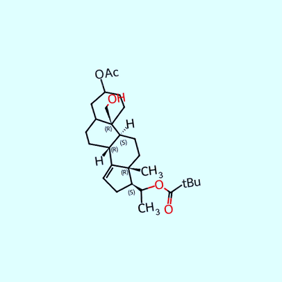 CC(=O)OC1CC[C@@]2(CO)C(CC[C@H]3C4=CC[C@H](C(C)OC(=O)C(C)(C)C)[C@@]4(C)CC[C@@H]32)C1